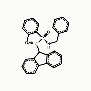 COc1ccccc1[P@@](=O)(NCc1ccccc1)OC1c2ccccc2-c2ccccc21